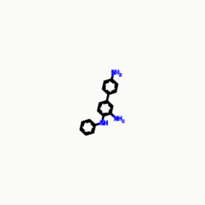 Nc1ccc(-c2ccc(Nc3ccccc3)c(N)c2)cc1